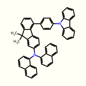 CC1(C)c2cc(N(c3cccc4ccccc34)c3cccc4ccccc34)ccc2-c2c(-c3ccc(-n4c5ccccc5c5ccccc54)cc3)cccc21